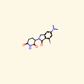 CN(C)c1cc(I)c2c(c1)CN(C1CCC(=O)NC1=O)C2=O